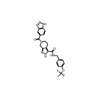 O=C(NCc1ccc(OC(F)(F)F)cc1)c1[nH]nc2c1CCN(C(=O)c1ccc3[nH]nnc3c1)C2